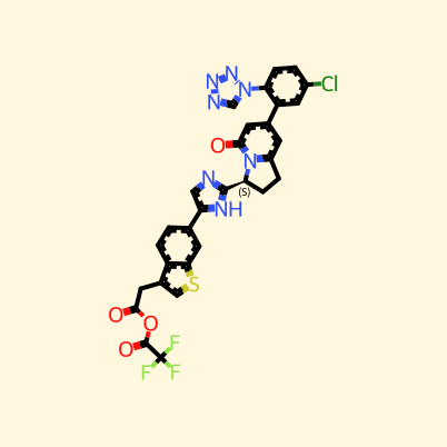 O=C(Cc1csc2cc(-c3cnc([C@@H]4CCc5cc(-c6cc(Cl)ccc6-n6cnnn6)cc(=O)n54)[nH]3)ccc12)OC(=O)C(F)(F)F